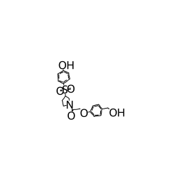 O=C(COc1ccc(CO)cc1)N1CCC(S(=O)(=O)c2ccc(O)cc2)C1